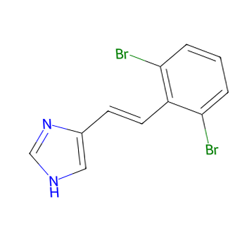 Brc1cccc(Br)c1C=Cc1c[nH]cn1